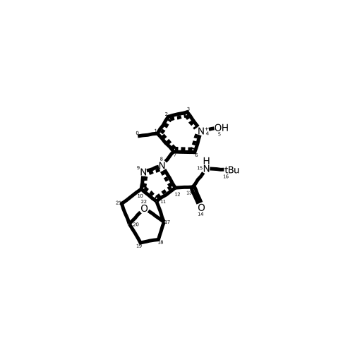 Cc1cc[n+](O)cc1-n1nc2c(c1C(=O)NC(C)(C)C)C1CCC(C2)O1